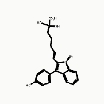 CC(C)n1c(C=CCCCC(O)(O)C(=O)O)c(-c2ccc(O)cc2)c2ccccc21